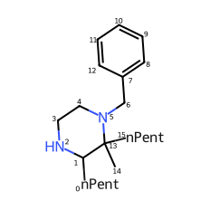 CCCCCC1NCCN(Cc2ccccc2)C1(C)CCCCC